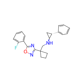 Fc1ccccc1-c1nc(C2(CN[C@H]3C[C@@H]3c3ccccc3)CCC2)no1